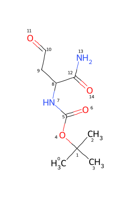 CC(C)(C)OC(=O)NC(CC=O)C(N)=O